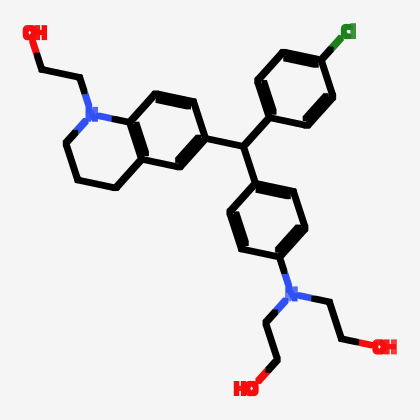 OCCN(CCO)c1ccc(C(c2ccc(Cl)cc2)c2ccc3c(c2)CCCN3CCO)cc1